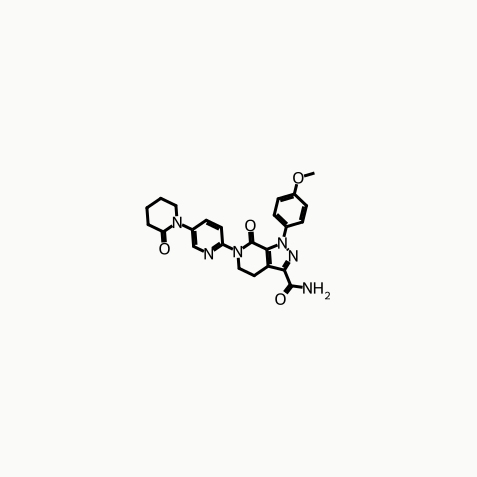 COc1ccc(-n2nc(C(N)=O)c3c2C(=O)N(c2ccc(N4CCCCC4=O)cn2)CC3)cc1